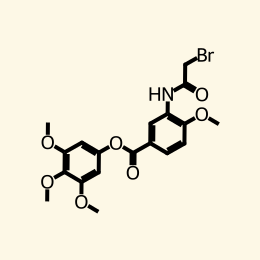 COc1ccc(C(=O)Oc2cc(OC)c(OC)c(OC)c2)cc1NC(=O)CBr